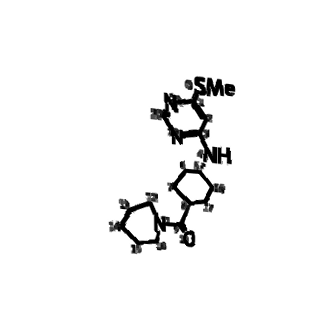 CSc1cc(N[C@H]2CC[C@H](C(=O)N3CCCCC3)CC2)ncn1